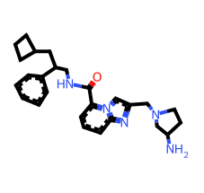 NC1CCN(Cc2cn3c(C(=O)NCC(CC4CCC4)c4ccccc4)cccc3n2)C1